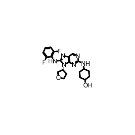 OC1CCC(Nc2ncc3nc(Nc4c(F)cccc4F)n([C@@H]4CCOC4)c3n2)CC1